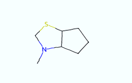 CN1CSC2CCCC21